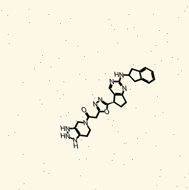 O=C(Cc1nnc([C@@H]2CCc3nc(NC4Cc5ccccc5C4)ncc32)o1)N1CCC2=C(C1)NNN2